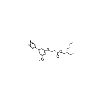 CCCCC(CC)COC(=O)CCSc1cc(OC)cc(-c2cnn(C)c2)c1